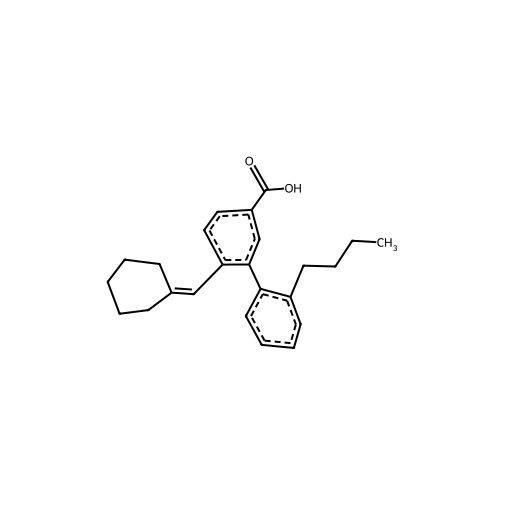 CCCCc1ccccc1-c1cc(C(=O)O)ccc1C=C1CCCCC1